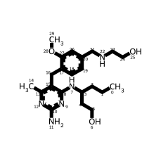 CCCC(CCO)Nc1nc(N)nc(C)c1Cc1ccc(CNCCO)cc1OC